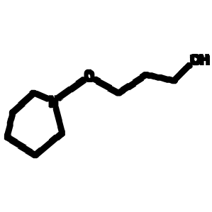 OCCCON1CCCCC1